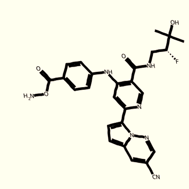 CC(C)(O)[C@H](F)CNC(=O)c1cnc(-c2ccc3cc(C#N)cnn23)cc1Nc1ccc(C(=O)ON)cc1